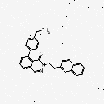 CCc1ccc(-c2cccc3cnn(CCc4ccc5ccccc5n4)c(=O)c23)cc1